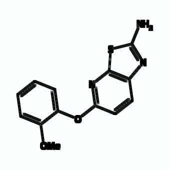 COc1ccccc1Oc1ccc2nc(N)sc2n1